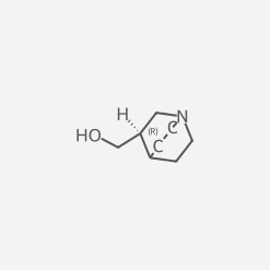 OC[C@H]1CN2CCC1CC2